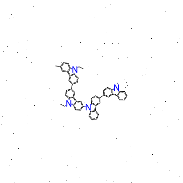 CCn1c2ccc(C)cc2c2cc(-c3ccc4c(c3)c3cc(-n5c6ccccc6c6cc(-c7ccc8c(c7)c7ccccc7n8C)ccc65)ccc3n4CC)ccc21